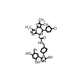 Cc1sc2c(c1C)C(c1ccc(Cl)cc1)=N[C@@H](CC(=O)NCc1ccc(-n3c(S)nnc3-c3cc(C(C)C)c(O)cc3O)cc1)c1nnc(C)n1-2